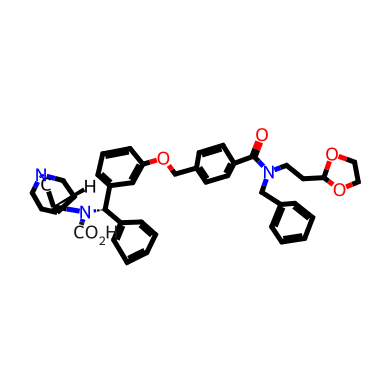 O=C(c1ccc(COc2cccc([C@H](c3ccccc3)N(C(=O)O)[C@H]3CN4CCC3CC4)c2)cc1)N(CCC1OCCO1)Cc1ccccc1